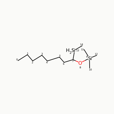 CCCCCCCC(O[Si](C)(C)C)[SiH2]C